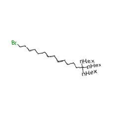 CCCCCCC(CCCCCC)(CCCCCC)CCCCCCCCCCCCCBr